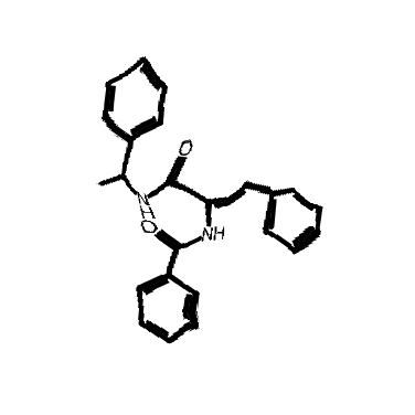 CC(NC(=O)/C(=C/c1ccccc1)NC(=O)c1ccccc1)c1ccccc1